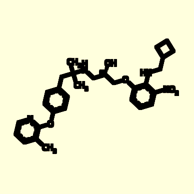 Cc1cccnc1Oc1ccc(CC(C)(C)NC[C@H](O)COc2cccc([N+](=O)[O-])c2NCC2CCC2)cc1